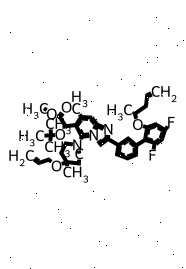 C=CCOC1(C)CCN(c2c([C@H](OC(C)(C)C)C(=O)OC)c(C)cc3nc(-c4cccc(-c5c(F)cc(F)cc5O[C@@H](C)CC=C)c4)cn23)CC1